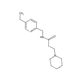 CCc1ccc(CNC(=O)CCN2CCCCC2)cc1